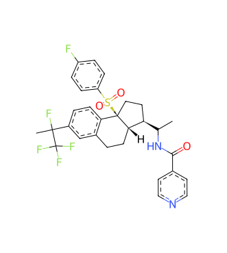 CC(NC(=O)c1ccncc1)[C@@H]1CC[C@@]2(S(=O)(=O)c3ccc(F)cc3)c3ccc(C(C)(F)C(F)(F)F)cc3CC[C@@H]12